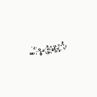 O=C(O[C@H](CO)C(F)(F)F)N1C[C@@H]2CN(S(=O)(=O)c3ccc(F)c(F)c3)C[C@@H]2C1